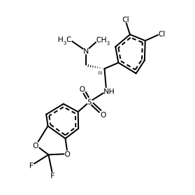 CN(C)C[C@@H](NS(=O)(=O)c1ccc2c(c1)OC(F)(F)O2)c1ccc(Cl)c(Cl)c1